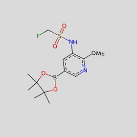 COc1ncc(B2OC(C)(C)C(C)(C)O2)cc1NS(=O)(=O)CF